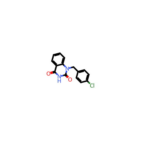 O=c1[nH]c(=O)n(Cc2ccc(Cl)cc2)c2ccccc12